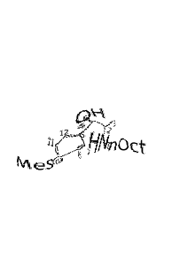 CCCCCCCCNC(C)C(O)c1ccc(SC)cc1